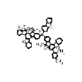 Cc1ccc(-c2cc3c(c4c2oc2ccccc24)-c2ccc(N(c4ccc5c(c4)C(C)(C)c4c6c(c7oc8ccccc8c7c4-5)-c4ccccc4C6(C)C)c4ccc5c(c4)oc4ccccc45)cc2C3(C)C)c(C)c1